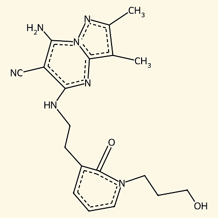 Cc1nn2c(N)c(C#N)c(NCCc3cccn(CCCO)c3=O)nc2c1C